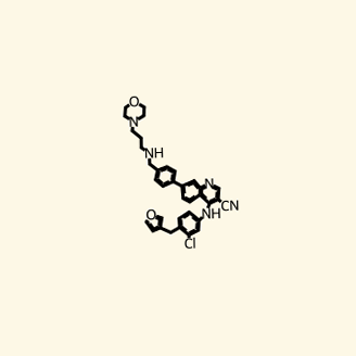 N#Cc1cnc2cc(-c3ccc(CNCCCN4CCOCC4)cc3)ccc2c1Nc1ccc(Cc2ccoc2)c(Cl)c1